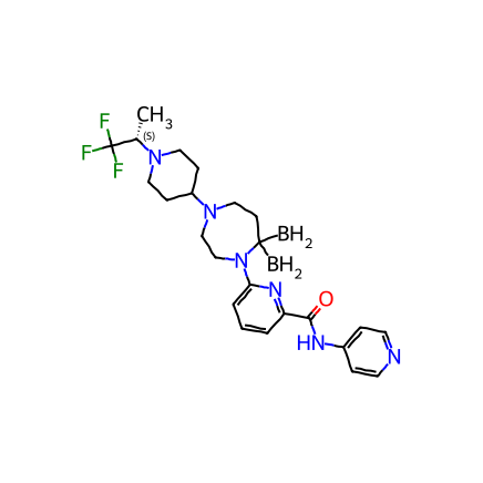 BC1(B)CCN(C2CCN([C@@H](C)C(F)(F)F)CC2)CCN1c1cccc(C(=O)Nc2ccncc2)n1